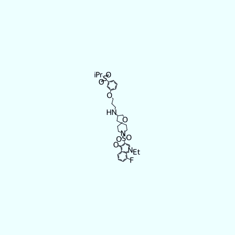 CCn1cc(S(=O)(=O)N2CCC3(CC2)C[C@@H](NCCCOc2cccc(S(=O)(=O)C(C)C)c2)CO3)c(=O)c2cccc(F)c21